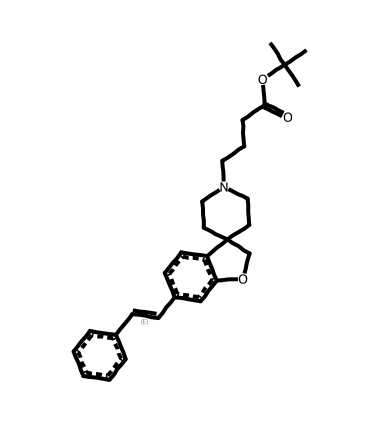 CC(C)(C)OC(=O)CCCN1CCC2(CC1)COc1cc(/C=C/c3ccccc3)ccc12